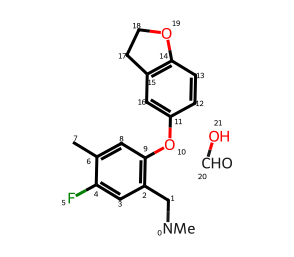 CNCc1cc(F)c(C)cc1Oc1ccc2c(c1)CCO2.O=CO